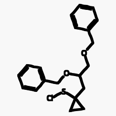 ClSC1(CC(COCc2ccccc2)OCc2ccccc2)CC1